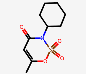 CC1=CC(=O)N(C2CCCCC2)S(=O)(=O)O1